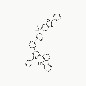 CC1(C)c2cc(-c3cccc(-c4nc(-c5ccccc5)nc(-c5cccc6c5[nH]c5ccccc56)n4)c3)ccc2-c2cc3nc(-c4ccccc4)oc3cc21